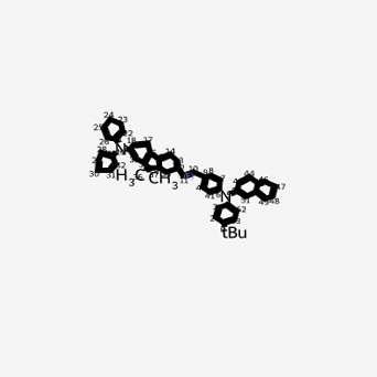 CC(C)(C)c1ccc(N(c2ccc(/C=C/C3=CC=C4c5ccc(N(C6=CCCC=C6)c6ccccc6)cc5C(C)(C)C4C3)cc2)c2ccc3ccccc3c2)cc1